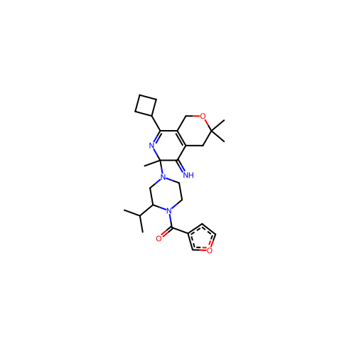 CC(C)C1CN(C2(C)N=C(C3CCC3)C3=C(CC(C)(C)OC3)C2=N)CCN1C(=O)c1ccoc1